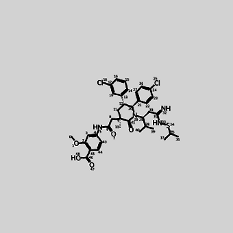 COc1cc(NC(=O)C[C@@]2(C)C[C@H](c3cccc(Cl)c3)[C@@H](c3ccc(Cl)cc3)N([C@@H](CC(=N)NSC(C)C)C(C)C)C2=O)ccc1C(=O)O